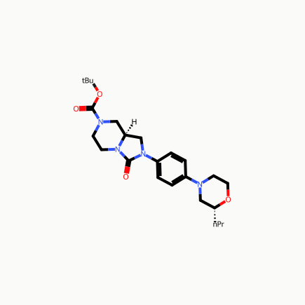 CCC[C@@H]1CN(c2ccc(N3C[C@@H]4CN(C(=O)OC(C)(C)C)CCN4C3=O)cc2)CCO1